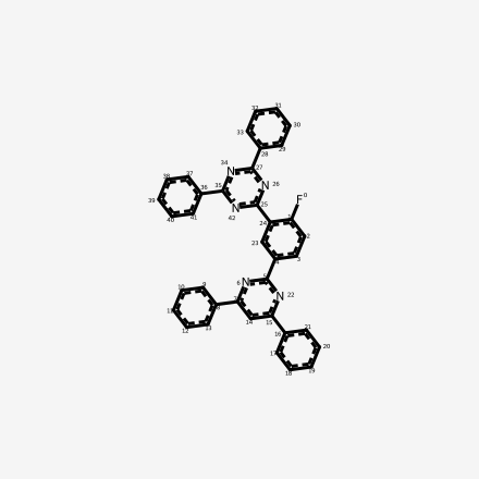 Fc1ccc(-c2nc(-c3ccccc3)cc(-c3ccccc3)n2)cc1-c1nc(-c2ccccc2)nc(-c2ccccc2)n1